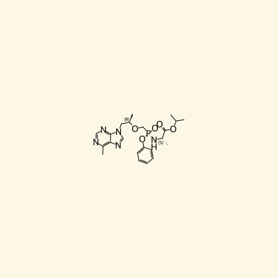 Cc1ncnc2c1ncn2C[C@@H](C)OCP(=O)(N[C@@H](C)C(=O)OC(C)C)Oc1ccccc1